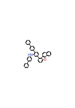 c1ccc(-c2ccc(Nc3cc(-c4cccc5oc6c7ccccc7ccc6c45)ccc3-c3ccc(-c4ccccc4)cc3)cc2)cc1